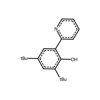 CC(C)(C)c1cc(-c2ccccn2)c(O)c(C(C)(C)C)c1